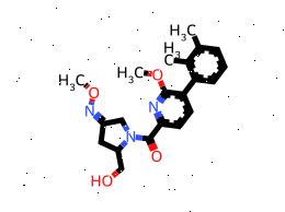 CO/N=C1/CC(CO)N(C(=O)c2ccc(-c3cccc(C)c3C)c(OC)n2)C1